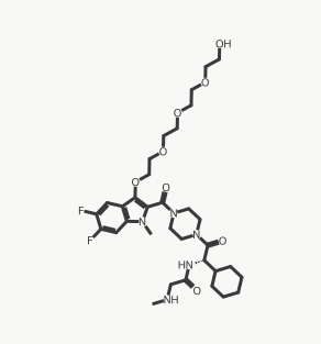 CNCC(=O)N[C@H](C(=O)N1CCN(C(=O)c2c(OCCOCCOCCOCCO)c3cc(F)c(F)cc3n2C)CC1)C1CCCCC1